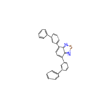 c1ccc(-c2cccc(-c3ccc(-c4cccc(-c5ccccc5)c4)c4nsnc34)c2)cc1